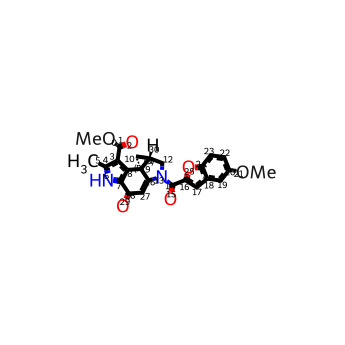 COC(=O)c1c(C)[nH]c2c1[C@@]13C[C@@H]1CN(C(=O)c1cc4cc(OC)ccc4o1)C3=CC2=O